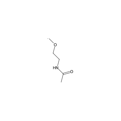 [CH2]OCCNC(C)=O